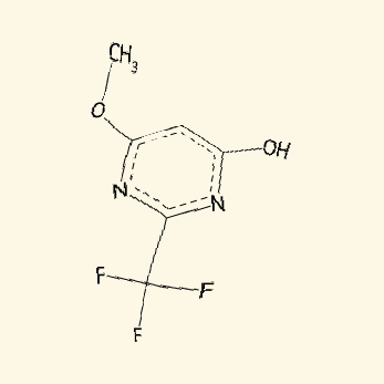 COc1cc(O)nc(C(F)(F)F)n1